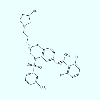 C/C(=C\c1ccc2c(c1)N(S(=O)(=O)c1cccc(C)c1)C[C@H](CCCN1CCC(O)C1)O2)c1c(F)cccc1Cl